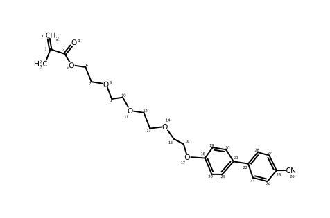 C=C(C)C(=O)OCCOCCOCCOCCOc1ccc(-c2ccc(C#N)cc2)cc1